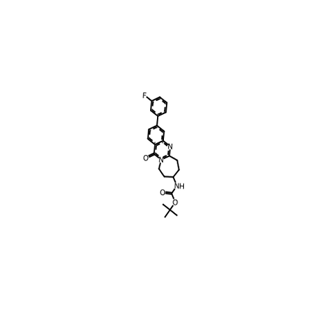 CC(C)(C)OC(=O)NC1CCc2nc3cc(-c4cccc(F)c4)ccc3c(=O)n2CC1